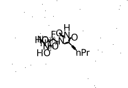 CCCC#Cc1cn([C@@H]2O[C@@](CO)(N=[N+]=[N-])[C@@H](O)[C@@H]2F)c(=O)[nH]c1=O